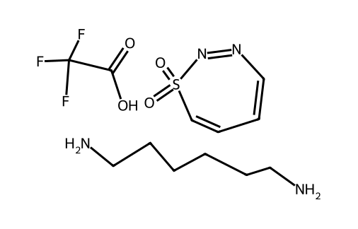 NCCCCCCN.O=C(O)C(F)(F)F.O=S1(=O)C=CC=CN=N1